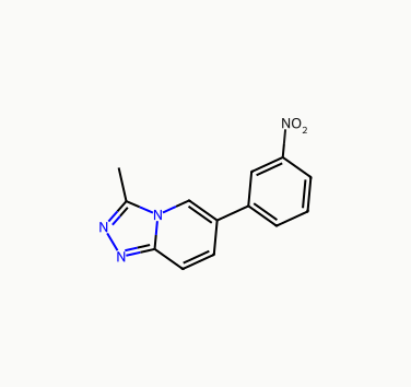 Cc1nnc2ccc(-c3cccc([N+](=O)[O-])c3)cn12